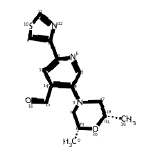 C[C@@H]1CN(c2cnc(-c3cscn3)cc2C=O)C[C@H](C)O1